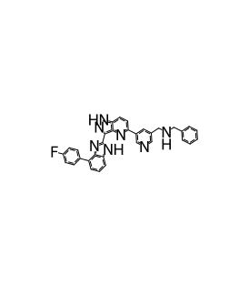 Fc1ccc(-c2cccc3[nH]c(-c4n[nH]c5ccc(-c6cncc(CNCc7ccccc7)c6)nc45)nc23)cc1